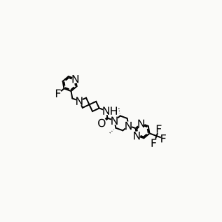 C[C@@H]1CN(c2ncc(C(F)(F)F)cn2)C[C@H](C)N1C(=O)NC1CC2(C1)CN(Cc1cnccc1F)C2